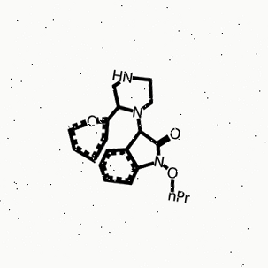 CCCON1C(=O)C(N2CCNCC2c2ccccc2)c2ccccc21